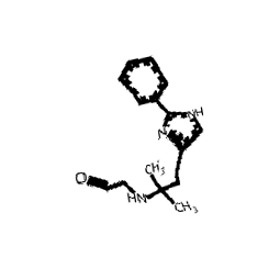 CC(C)(Cc1c[nH]c(-c2ccccc2)n1)NC[C]=O